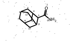 NC(=O)C1C2CC3CC(C2)CC1C3